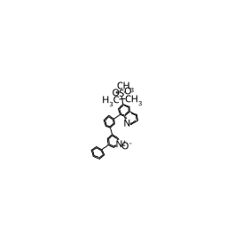 CC(C)(c1cc(-c2cccc(-c3cc(-c4ccccc4)c[n+]([O-])c3)c2)c2ncccc2c1)S(C)(=O)=O